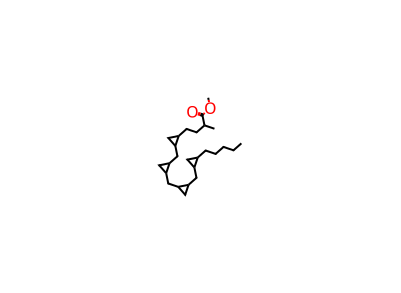 CCCCCC1CC1CC1CC1CC1CC1CC1CC1CCC(C)C(=O)OC